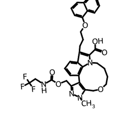 Cn1nc(COC(=O)NCC(F)(F)F)c2c1COCCCCn1c(C(=O)O)c(CCCOc3cccc4ccccc34)c3cccc-2c31